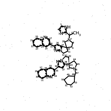 CC(c1ncc[nH]1)N1CCC2(CCn3nc(-c4cnc5ccccc5c4)cc32)C1.c1ccc2ncc(-c3cc4n(n3)CC[C@]43CCN(CC4CCCCC4)C3)cc2c1